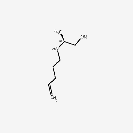 C=CCCCN[C@@H](C)CO